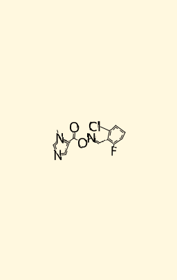 Cn1cncc1C(=O)ON=Cc1c(F)cccc1Cl